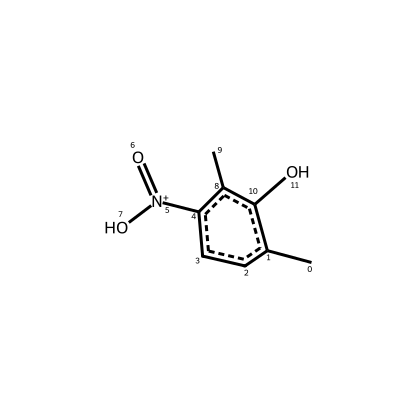 Cc1ccc([N+](=O)O)c(C)c1O